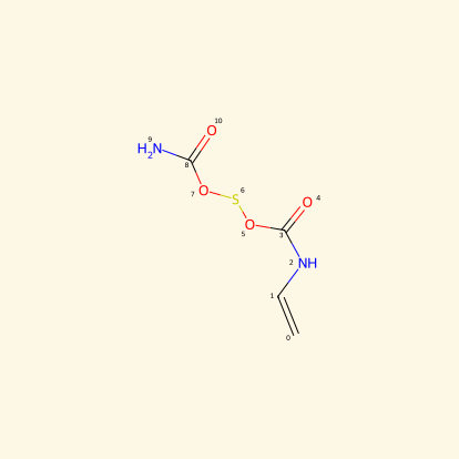 C=CNC(=O)OSOC(N)=O